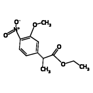 CCOC(=O)C(C)c1ccc([N+](=O)[O-])c(OC)c1